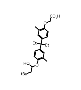 CCC(CC)(c1ccc(OCC(=O)O)c(C)c1)c1ccc(OC(O)CC(C)(C)C)c(C)c1